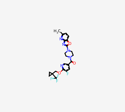 Cc1ccc2oc(N3CCN(C(=O)c4cnc(OCC5(C(F)(F)F)CC5)c(F)c4)CC3)nc2n1